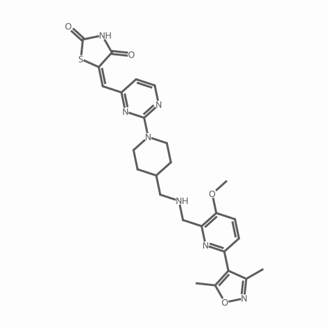 COc1ccc(-c2c(C)noc2C)nc1CNCC1CCN(c2nccc(C=C3SC(=O)NC3=O)n2)CC1